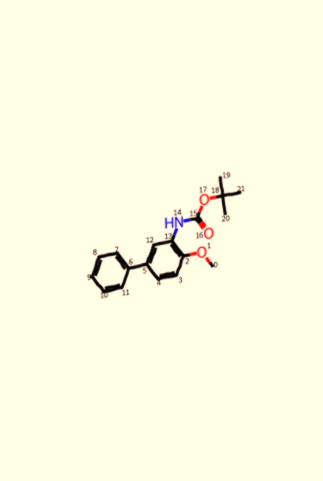 COc1ccc(-c2ccccc2)cc1NC(=O)OC(C)(C)C